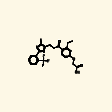 CCc1cc(OCC(=O)O)ccc1C(=O)CCc1sc(-c2ccccc2C(F)(F)F)nc1C